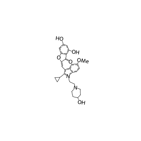 COc1ccc2c(c1)c(C=C1Oc3cc(O)cc(O)c3C1=O)c(C1CC1)n2CCN1CCC(O)CC1